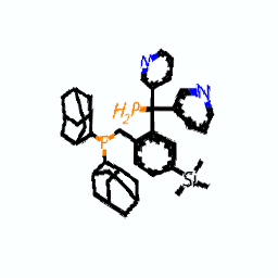 C[Si](C)(C)c1ccc(CP(C2C3CC4CC(C3)CC2C4)C2C3CC4CC(C3)CC2C4)c(C(P)(c2cccnc2)c2cccnc2)c1